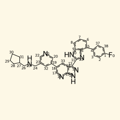 Fc1ccc(-c2cccc3[nH]c(-c4n[nH]c5ncc(-c6cncc(CNCC7CCCC7)c6)cc45)nc23)cc1